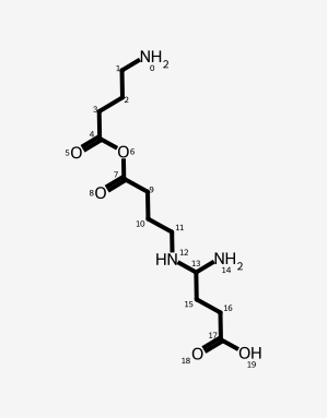 NCCCC(=O)OC(=O)CCCNC(N)CCC(=O)O